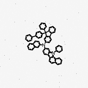 c1ccc(-c2ccc(C3(c4ccccc4)c4ccccc4-c4ccc(N(c5ccc6ccccc6c5)c5ccc6c7ccc8ccccc8c7n(-c7ccccc7)c6c5)cc43)cc2)cc1